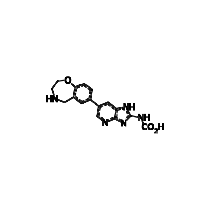 O=C(O)Nc1nc2ncc(-c3ccc4c(c3)CNCCO4)cc2[nH]1